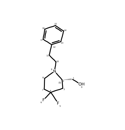 OC[C@@H]1CC(F)(F)CCN1CCc1ccccc1